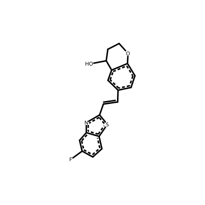 OC1CCOc2ccc(C=Cc3nc4cc(F)ccc4s3)cc21